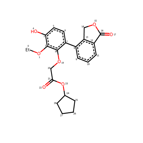 CCOc1c(O)ccc(-c2cccc3c2COC3=O)c1OCC(=O)OC1CCCC1